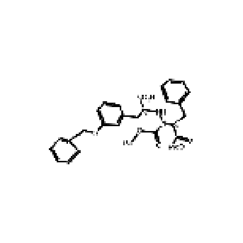 COC(=O)[C@H](Cc1ccccc1)N(N[C@@H](Cc1cccc(OCc2ccccc2)c1)C(=O)O)C(=O)OC(C)(C)C